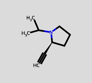 C#C[C@@H]1CCCN1C(C)C